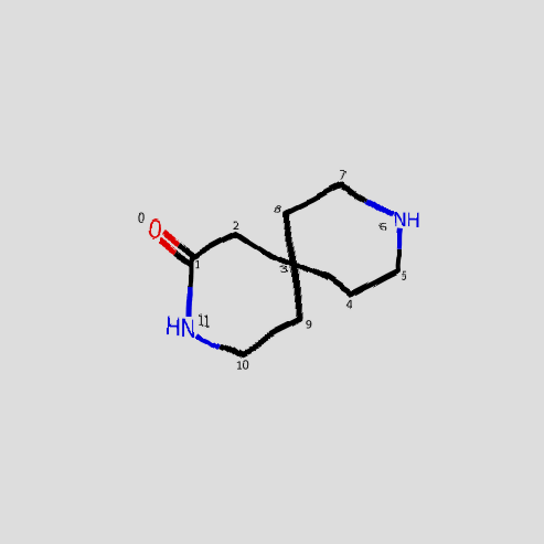 O=C1CC2(CCNCC2)CCN1